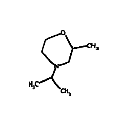 C[C](C)N1CCOC(C)C1